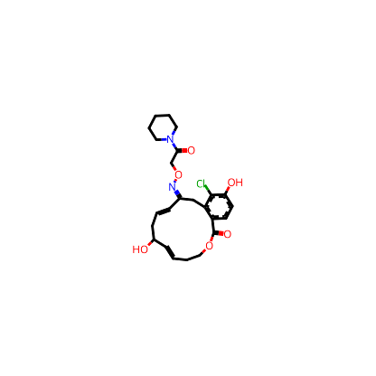 O=C1OCC/C=C/C(O)C/C=C/C(=N/OCC(=O)N2CCCCC2)Cc2c1ccc(O)c2Cl